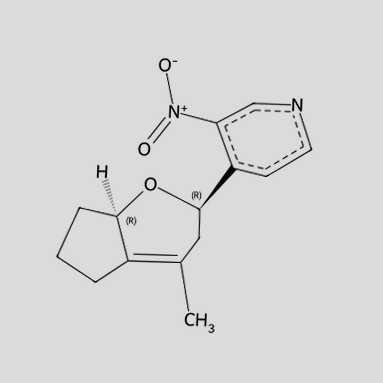 CC1=C2CCC[C@H]2O[C@@H](c2ccncc2[N+](=O)[O-])C1